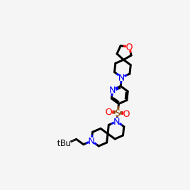 CC(C)(C)CCN1CCC2(CCCN(S(=O)(=O)c3ccc(N4CCC5(CCOC5)CC4)nc3)C2)CC1